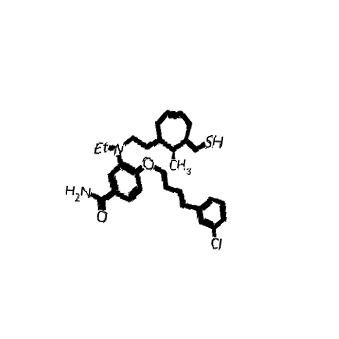 CCN(CCC1CC=CCC(CS)[C@H]1C)c1cc(C(N)=O)ccc1OCCCCc1cccc(Cl)c1